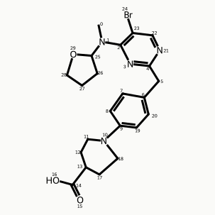 CN(c1nc(Cc2ccc(N3CCC(C(=O)O)CC3)cc2)ncc1Br)C1CCCO1